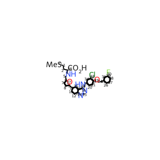 CSCCC(NCc1ccc(-c2ccc3ncnc(Nc4ccc(OCc5cccc(F)c5)c(Cl)c4)c3c2)o1)C(=O)O